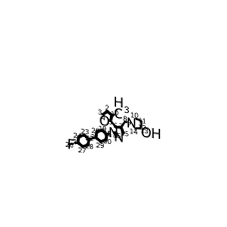 Cc1ccoc1-c1c(CN2CCC(O)C2)cnn1-c1ccc(-c2ccc(F)cc2)cc1